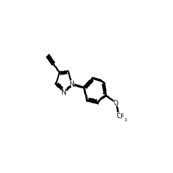 C#Cc1cnn(-c2ccc(OC(F)(F)F)cc2)c1